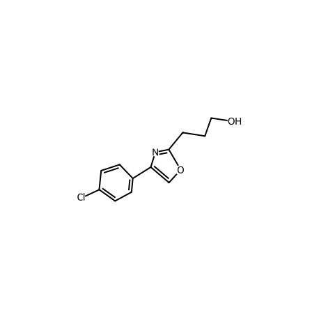 OCCCc1nc(-c2ccc(Cl)cc2)co1